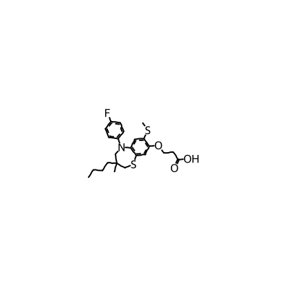 CCCCC1(C)CSc2cc(OCCC(=O)O)c(SC)cc2N(c2ccc(F)cc2)C1